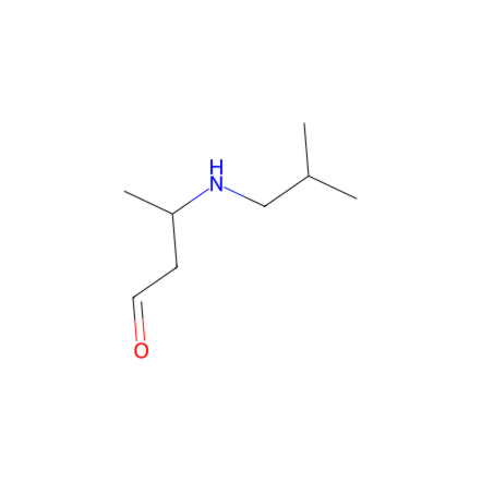 CC(C)CNC(C)CC=O